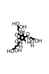 O=C(CCC(O)CO)Nc1c(I)c(C(=O)NCC(O)CO)c(I)c(C(=O)NCC(O)CO)c1I